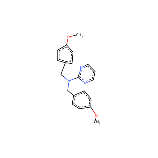 COc1ccc(CN(Cc2ccc(OC)cc2)c2ncccn2)cc1